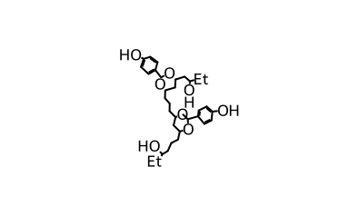 CCC(O)CCCC1CC(CCCC2CC(CC(O)CC)OC(c3ccc(O)cc3)O2)OC(c2ccc(O)cc2)O1